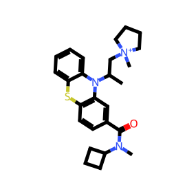 CC(C[N+]1(C)CCCC1)N1c2ccccc2Sc2ccc(C(=O)N(C)C3CCC3)cc21